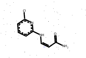 NC(=O)/C=C\Nc1cccc(Cl)n1